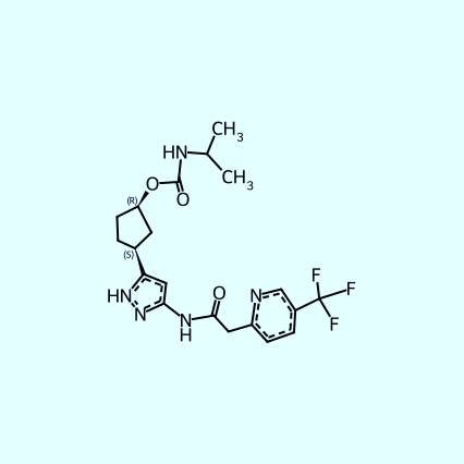 CC(C)NC(=O)O[C@@H]1CC[C@H](c2cc(NC(=O)Cc3ccc(C(F)(F)F)cn3)n[nH]2)C1